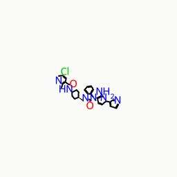 Cc1ncc(Cl)cc1C(=O)N[C@H]1CC[C@H](Cn2c(=O)n(-c3ccc(-c4cccnc4)nc3N)c3ccccc32)CC1